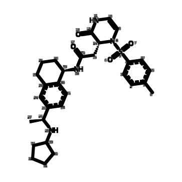 Cc1ccc(S(=O)(=O)N2C=CNC(=O)[C@H]2CC(=O)N[C@@H]2CCCc3cc([C@H](C)NC4CCCC4)ccc32)cc1